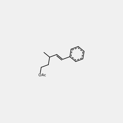 CC(=O)OCCC(C)C=Cc1ccccc1